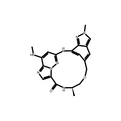 CNc1cc2nn3c(cnc13)C(=O)N[C@H](C)COCc1cc(c3nn(C)cc3c1)N2